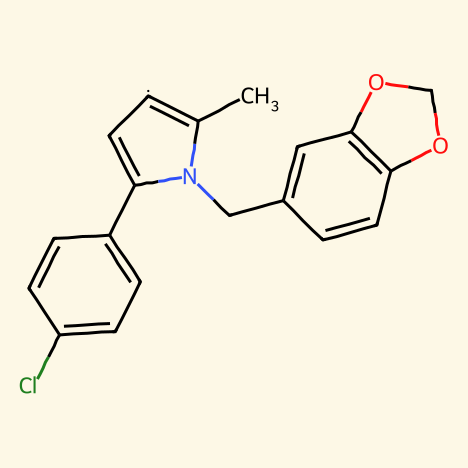 Cc1[c]cc(-c2ccc(Cl)cc2)n1Cc1ccc2c(c1)OCO2